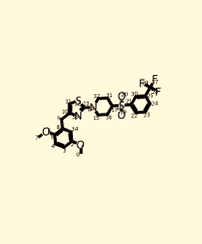 COc1ccc(OC)c(Cc2csc(N3CCC(S(=O)(=O)c4cccc(C(F)(F)F)c4)CC3)n2)c1